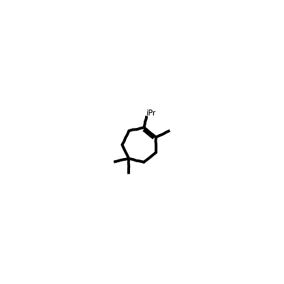 CC1=C(C(C)C)CCC(C)(C)CC1